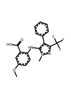 COc1ccc(Nc2c(-c3ccccc3)c(C(F)(F)F)nn2C)c(C(=O)O)c1